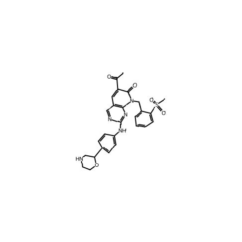 CC(=O)c1cc2cnc(Nc3ccc(C4CNCCO4)cc3)nc2n(Cc2ccccc2S(C)(=O)=O)c1=O